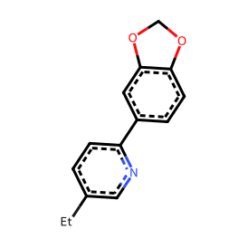 CCc1ccc(-c2ccc3c(c2)OCO3)nc1